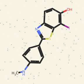 CNc1ccc(-c2nc3ccc(O)c(I)c3s2)cc1